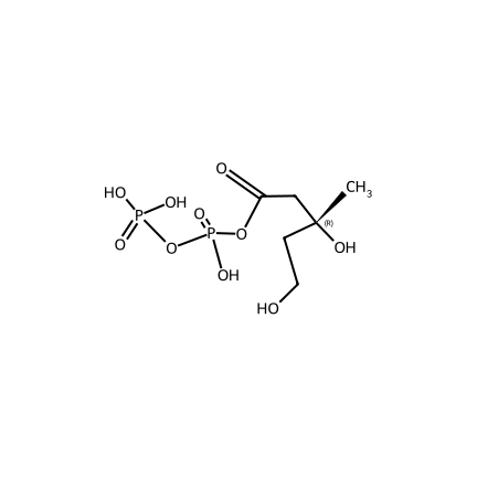 C[C@@](O)(CCO)CC(=O)OP(=O)(O)OP(=O)(O)O